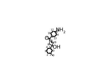 Cc1cccc(C2(O)CN(C(=O)c3ccc(N)cc3)C2)c1